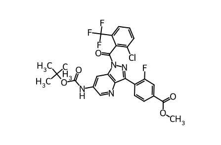 COC(=O)c1ccc(-c2nn(C(=O)c3c(Cl)cccc3C(F)(F)F)c3cc(NC(=O)OC(C)(C)C)cnc23)c(F)c1